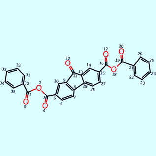 O=C(OC(=O)c1ccc2c(c1)C(=O)c1cc(C(=O)OC(=O)c3ccccc3)ccc1-2)c1ccccc1